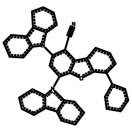 N#Cc1c(-n2c3ccccc3c3ccccc32)cc(-n2c3ccccc3c3ccccc32)c2oc3c(-c4ccccc4)cccc3c12